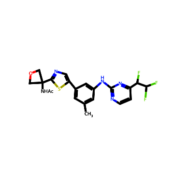 CC(=O)NC1(c2ncc(-c3cc(C)cc(Nc4nccc(C(F)C(F)F)n4)c3)s2)COC1